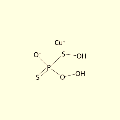 [Cu+].[O-]P(=S)(OO)SO